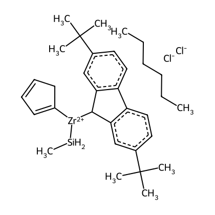 CCCCCC.C[SiH2][Zr+2]([C]1=CC=CC1)[CH]1c2cc(C(C)(C)C)ccc2-c2ccc(C(C)(C)C)cc21.[Cl-].[Cl-]